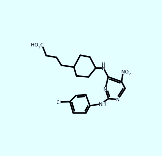 O=C(O)CCCC1CCC(Nc2nc(Nc3ccc(Cl)cc3)ncc2[N+](=O)[O-])CC1